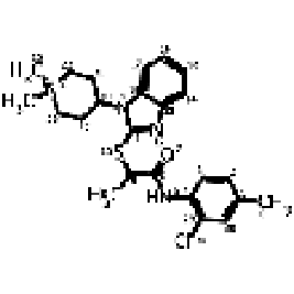 Cc1ccc(NC(=O)C(C)Sc2nc3ccccc3n2C2CC[N+](C)(C)CC2)c(Cl)c1